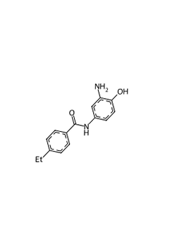 CCc1ccc(C(=O)Nc2ccc(O)c(N)c2)cc1